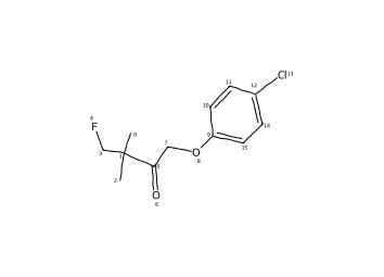 CC(C)(CF)C(=O)COc1ccc(Cl)cc1